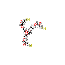 CC(COC(C)(C)CCOC(C)(C)C(=O)CCS)(COC(C)(C)CCOC(C)(C)C(=O)CCS)COC(C)(C)CCOC(C)(C)C(=O)CCS